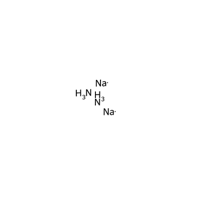 N.N.[Na].[Na]